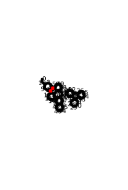 CCC1CC2CCCC(C1)C21c2ccccc2-c2c(N(c3ccc4c(c3)C3(CCCCC3)c3ccccc3-4)c3ccc4ccccc4c3)cccc21